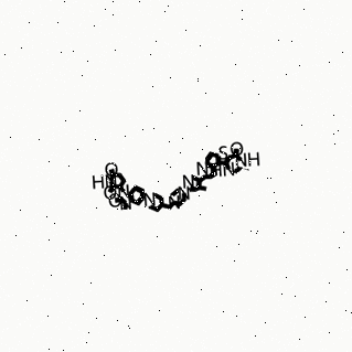 Cc1cc(N2CCN(CC3CCN(c4ccc5c(c4)n(C)c(=O)n5C4CCC(=O)NC4=O)CC3)CC2)ncc1-c1ccc2c(ccc3sc4c(c32)NC[C@@H](C)NC4=O)n1